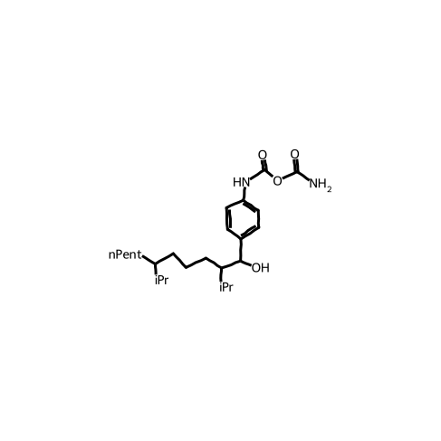 CCCCCC(CCCC(C(C)C)C(O)c1ccc(NC(=O)OC(N)=O)cc1)C(C)C